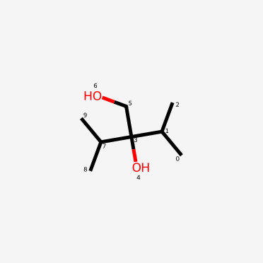 CC(C)C(O)(CO)C(C)C